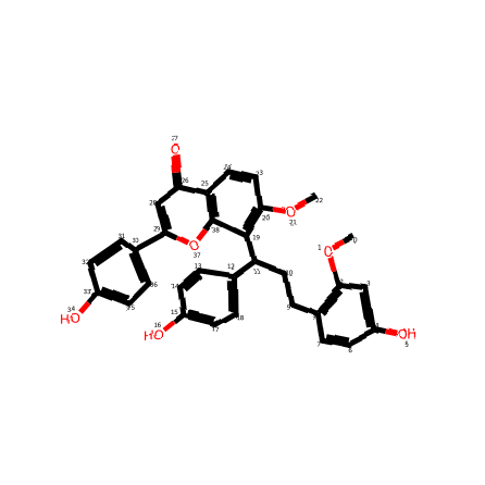 COc1cc(O)ccc1CCC(c1ccc(O)cc1)c1c(OC)ccc2c(=O)cc(-c3ccc(O)cc3)oc12